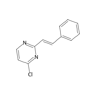 Clc1ccnc(/C=C/c2ccccc2)n1